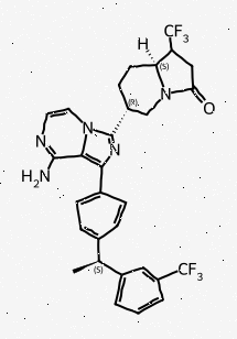 C[C@@H](c1ccc(-c2nc([C@@H]3CC[C@H]4C(C(F)(F)F)CC(=O)N4C3)n3ccnc(N)c23)cc1)c1cccc(C(F)(F)F)c1